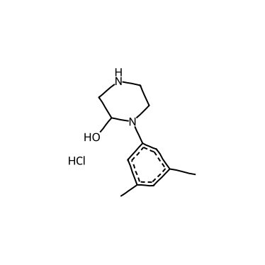 Cc1cc(C)cc(N2CCNCC2O)c1.Cl